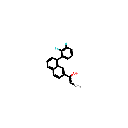 CC=C(O)c1ccc2cccc(-c3cccc(F)c3F)c2c1